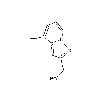 Cc1nccn2nc(CO)cc12